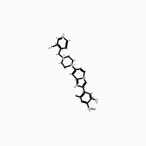 COc1cc(C)c(-c2cn3ccc(N4CCN(Cc5ccncc5F)CC4)cc3n2)cc1Cl